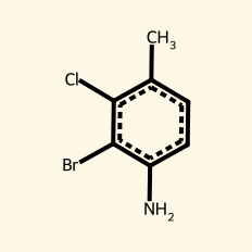 Cc1ccc(N)c(Br)c1Cl